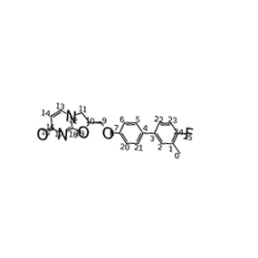 Cc1cc(-c2ccc(OC[C@@H]3Cn4ccc(=O)nc4O3)cc2)ccc1F